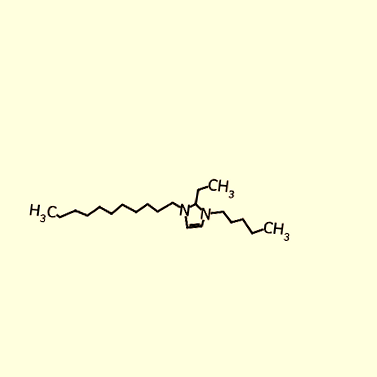 CCCCCCCCCCCN1C=CN(CCCCC)C1CC